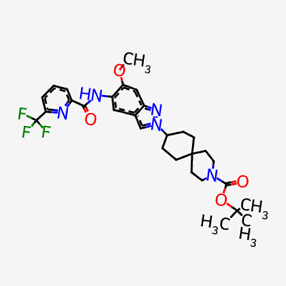 COc1cc2nn(C3CCC4(CC3)CCN(C(=O)OC(C)(C)C)CC4)cc2cc1NC(=O)c1cccc(C(F)(F)F)n1